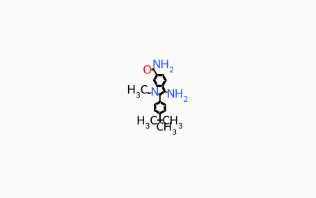 CCn1c(-c2ccc(C(C)(C)C)cc2)c(N)c2ccc(C(N)=O)cc21